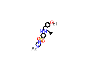 CCOc1ccc(Cc2nc3cc(S(=O)(=O)N4CCN(C(C)=O)CC4)ccc3n2CC2CC2)cc1